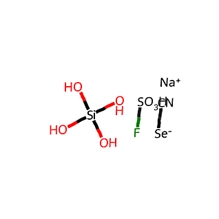 N#C[Se-].O=S(=O)(O)F.O[Si](O)(O)O.[Na+]